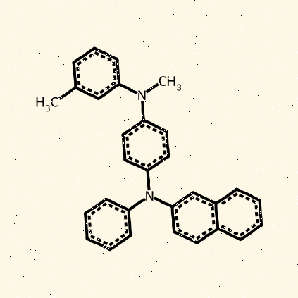 Cc1cccc(N(C)c2ccc(N(c3ccccc3)c3ccc4ccccc4c3)cc2)c1